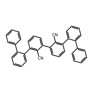 N#Cc1c(-c2ccccc2-c2ccccc2)cccc1-c1cccc(-c2ccccc2-c2ccccc2)c1C#N